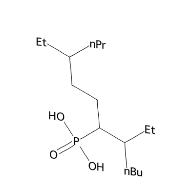 CCCCC(CC)C(CCC(CC)CCC)P(=O)(O)O